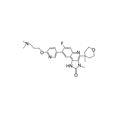 CN(C)CCCOc1ccc(-c2cc3c(cc2F)nc(C2(C)CCOCC2)c2c3[nH]c(=O)n2C)cn1